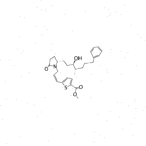 COC(=O)c1ccc(/C=C\CN2C(=O)CC[C@@H]2CC[C@@H](O)[C@@H](C)CCCc2ccccc2)s1